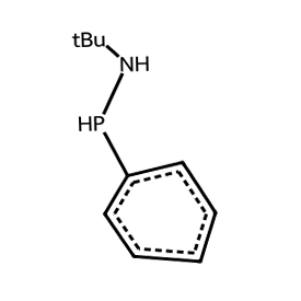 CC(C)(C)NPc1ccccc1